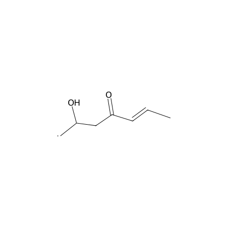 [CH2]C(O)CC(=O)C=CC